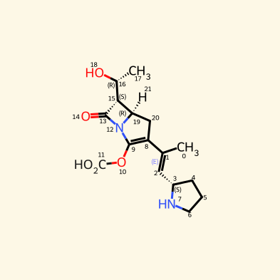 C/C(=C\[C@@H]1CCCN1)C1=C(OC(=O)O)N2C(=O)[C@H]([C@@H](C)O)[C@H]2C1